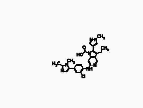 CCc1c(-c2cnn(C)c2)n(C(=O)O)c2cc(Nc3ccc(-c4cnc(C)n4C)cc3Cl)ncc12